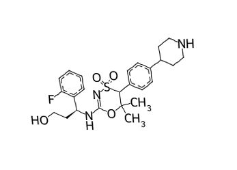 CC1(C)OC(N[C@@H](CCO)c2ccccc2F)=NS(=O)(=O)C1c1ccc(C2CCNCC2)cc1